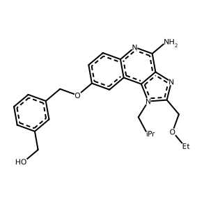 CCOCc1nc2c(N)nc3ccc(OCc4cccc(CO)c4)cc3c2n1CC(C)C